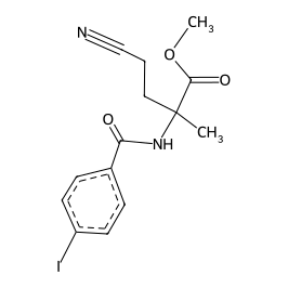 COC(=O)C(C)(CCC#N)NC(=O)c1ccc(I)cc1